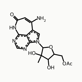 CC(=O)OCC1OC(n2cc3c4c(ncnc42)NC(=O)C=C3N)C(C)(O)C1O